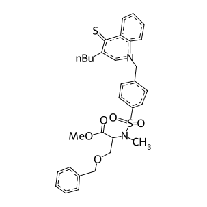 CCCCc1cn(Cc2ccc(S(=O)(=O)N(C)C(COCc3ccccc3)C(=O)OC)cc2)c2ccccc2c1=S